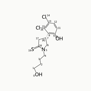 OCCCCN1C[C@@H](c2c(O)ccc(Cl)c2Cl)CC1=S